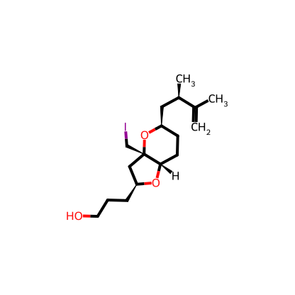 C=C(C)[C@H](C)C[C@H]1CC[C@@H]2O[C@@H](CCCO)C[C@]2(CI)O1